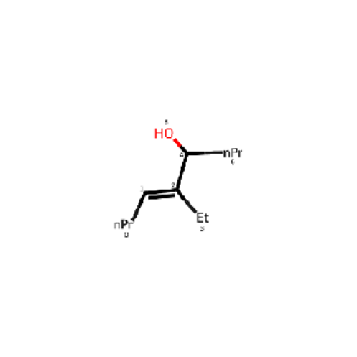 CCC/C=C(\CC)C(O)CCC